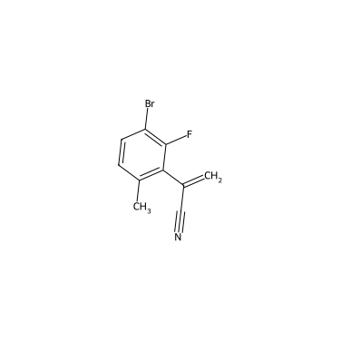 C=C(C#N)c1c(C)ccc(Br)c1F